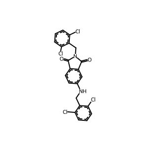 O=C1c2ccc(NCc3c(Cl)cccc3Cl)cc2C(=O)N1Cc1c(Cl)cccc1Cl